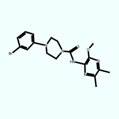 COc1nc(C)c(C)nc1NC(=S)N1CCN(c2cccc(Br)c2)CC1